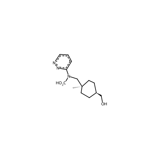 C[C@]1(CN(C(=O)O)c2cccnn2)CC[C@@H](CO)CC1